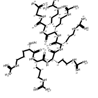 CC(=O)N[C@@H](CCCNC(=N)N)C(=O)N[C@@H](CCCNC(=N)N)C(=O)N[C@@H](CCCNC(=N)N)C(=O)N[C@@H](CCCNC(=N)N)C(=O)N[C@@H](CCCNC(=N)N)C(=O)N[C@@H](CCCNC(N)N)C(=O)NCC(=O)C(C)C